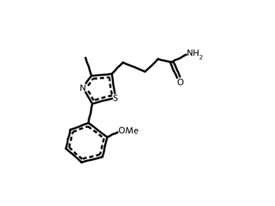 COc1ccccc1-c1nc(C)c(CCCC(N)=O)s1